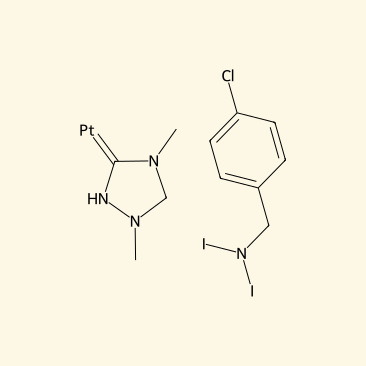 CN1CN(C)[C](=[Pt])N1.Clc1ccc(CN(I)I)cc1